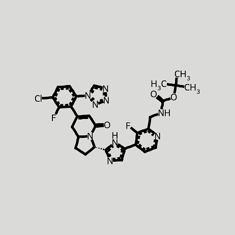 CC(C)(C)OC(=O)NCc1nccc(-c2cnc([C@@H]3CCC4CC(c5c(-n6cnnn6)ccc(Cl)c5F)=CC(=O)N43)[nH]2)c1F